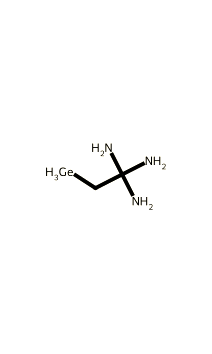 NC(N)(N)[CH2][GeH3]